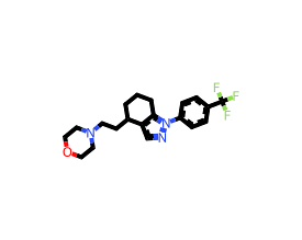 FC(F)(F)c1ccc(-n2ncc3c2CCCC3CCN2CCOCC2)cc1